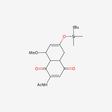 COC1C=C(O[Si](C)(C)C(C)(C)C)CC2C(=O)C=C(NC(C)=O)C(=O)C12